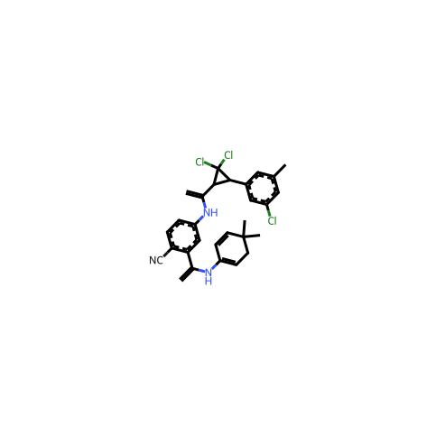 C=C(NC1=CCC(C)(C)C=C1)c1cc(NC(=C)C2C(c3cc(C)cc(Cl)c3)C2(Cl)Cl)ccc1C#N